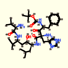 CC(C)C[C@H](NC(=O)[C@@](N)(Cc1c[nH]cn1)C(=O)[C@H](Cc1ccccc1)NC(=O)OC(C)(C)C)[C@@H](O)C[C@H](NC(=O)[C@H](N)C(C)C)C(C)C